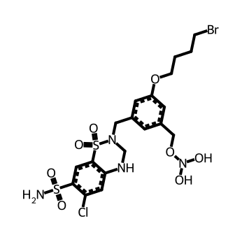 NS(=O)(=O)c1cc2c(cc1Cl)NCN(Cc1cc(CON(O)O)cc(OCCCCBr)c1)S2(=O)=O